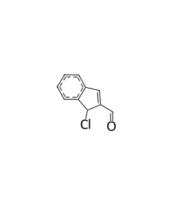 O=CC1=Cc2ccccc2C1Cl